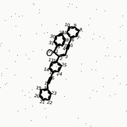 O=C(C(=CC#Cc1ccccc1)c1ccc(C#Cc2ccccc2)cc1)c1ccccc1